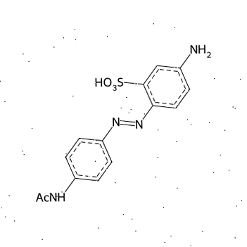 CC(=O)Nc1ccc(N=Nc2ccc(N)cc2S(=O)(=O)O)cc1